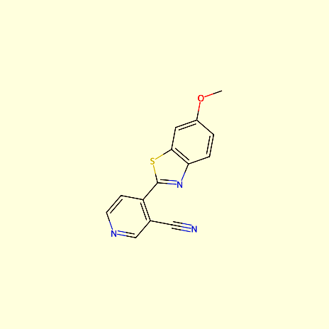 COc1ccc2nc(-c3ccncc3C#N)sc2c1